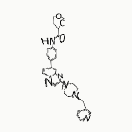 O=C(Nc1ccc(-c2ccc3ncc(N4CCN(Cc5cccnc5)CC4)nc3c2)cc1)C1CCOCC1